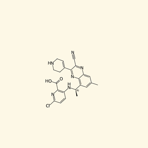 Cc1cc([C@@H](C)Nc2ccc(Cl)nc2C(=O)O)c2nc(C3=CCNCC3)c(C#N)nc2c1